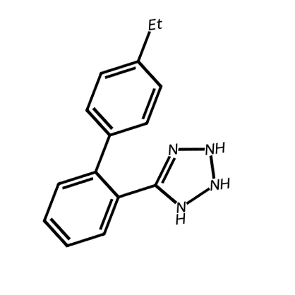 CCc1ccc(-c2ccccc2C2=NNNN2)cc1